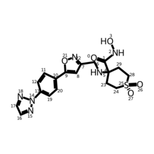 O=C(NO)C1(NCc2cc(-c3ccc(-n4nccn4)cc3)on2)CCS(=O)(=O)CC1